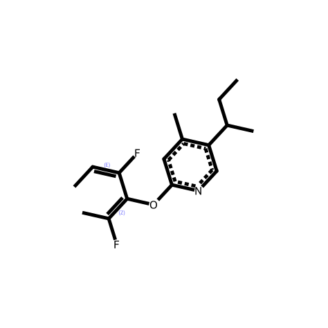 C/C=C(F)\C(Oc1cc(C)c(C(C)CC)cn1)=C(/C)F